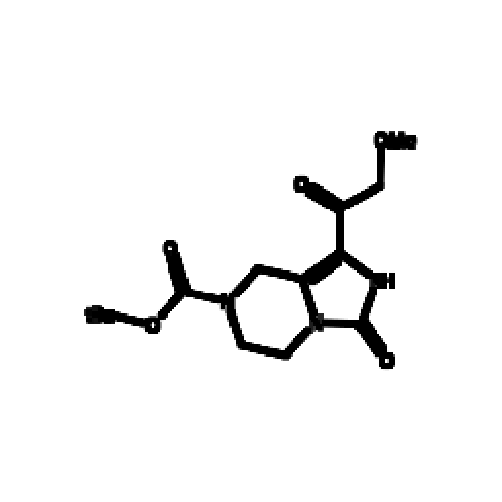 COCC(=O)c1[nH]c(=O)n2c1CN(C(=O)OC(C)(C)C)CC2